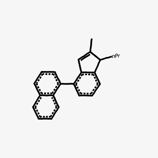 CCCC1C(C)=Cc2c(-c3cccc4ccccc34)cccc21